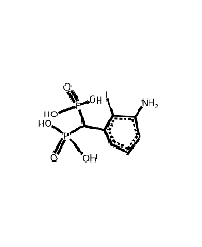 Nc1cccc(C(P(=O)(O)O)P(=O)(O)O)c1I